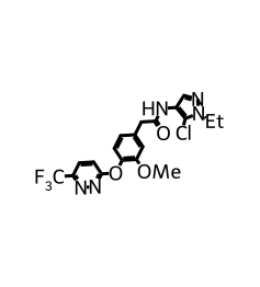 CCn1ncc(NC(=O)Cc2ccc(Oc3ccc(C(F)(F)F)nn3)c(OC)c2)c1Cl